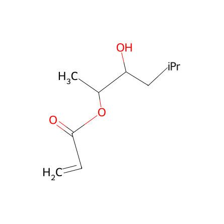 [CH2]C(C)CC(O)C(C)OC(=O)C=C